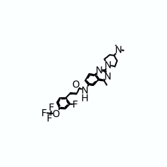 Cc1nc(N2CCC(N(C)C)CC2)nc2ccc(NC(=O)/C=C/c3ccc(OC(F)(F)F)cc3F)cc12